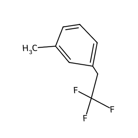 Cc1cccc(CC(F)(F)F)c1